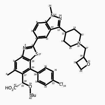 Cc1cc2nc(-c3ccc4c(c3)c(C3CCN(CC5CCO5)CC3)nn4C)sc2c(-c2ccc(Cl)cc2)c1[C@H](OC(C)(C)C)C(=O)O